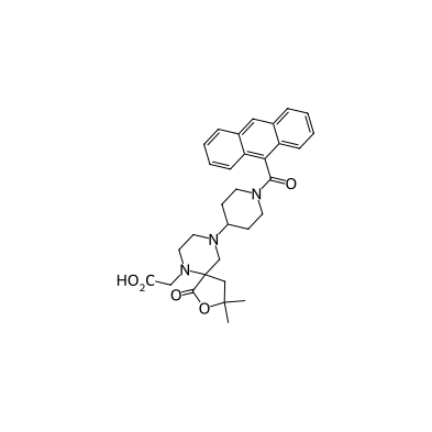 CC1(C)CC2(CN(C3CCN(C(=O)c4c5ccccc5cc5ccccc45)CC3)CCN2CC(=O)O)C(=O)O1